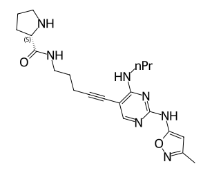 CCCNc1nc(Nc2cc(C)no2)ncc1C#CCCCNC(=O)[C@@H]1CCCN1